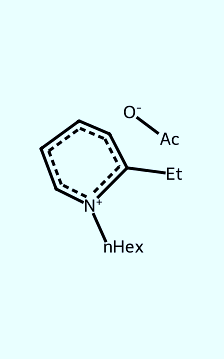 CC(=O)[O-].CCCCCC[n+]1ccccc1CC